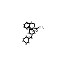 CC(=O)N1CCc2ccccc2C12CCN(CC1CCCCC1)CC2